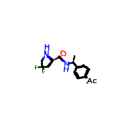 CC(=O)c1ccc([C@H](C)NC(=O)[C@H]2CC(F)(F)CN2)cc1